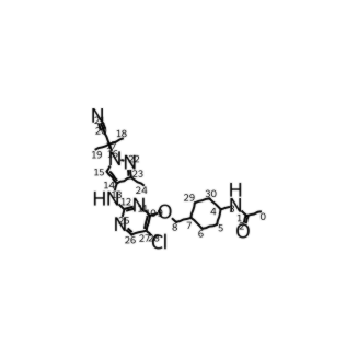 CC(=O)NC1CCC(COc2nc(Nc3cn(C(C)(C)C#N)nc3C)ncc2Cl)CC1